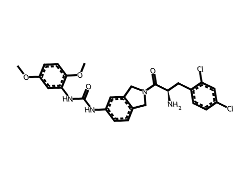 COc1ccc(OC)c(NC(=O)Nc2ccc3c(c2)CN(C(=O)[C@H](N)Cc2ccc(Cl)cc2Cl)C3)c1